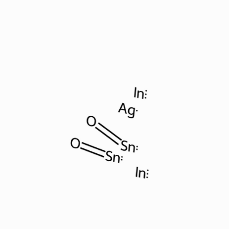 [Ag].[In].[In].[O]=[Sn].[O]=[Sn]